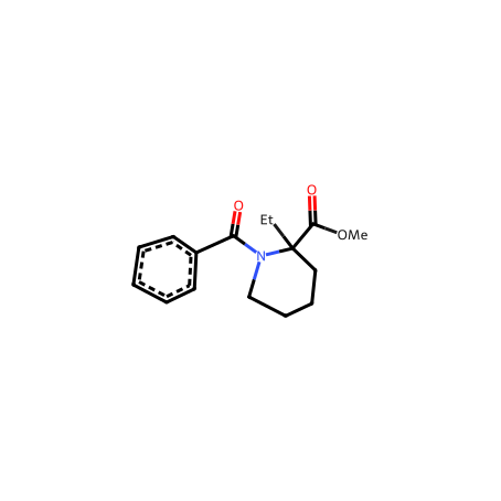 CCC1(C(=O)OC)CCCCN1C(=O)c1ccccc1